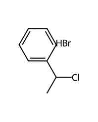 Br.CC(Cl)c1ccccc1